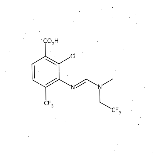 CN(/C=N/c1c(C(F)(F)F)ccc(C(=O)O)c1Cl)CC(F)(F)F